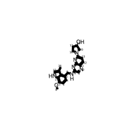 COc1ccc(CNc2cnc3ccc(N4CC[C@H](O)C4)nc3n2)c2c(C)c[nH]c12